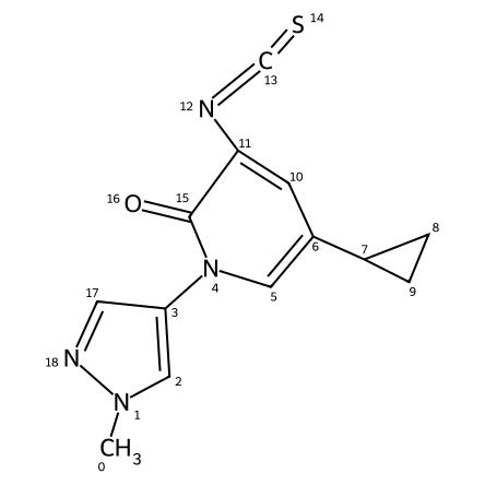 Cn1cc(-n2cc(C3CC3)cc(N=C=S)c2=O)cn1